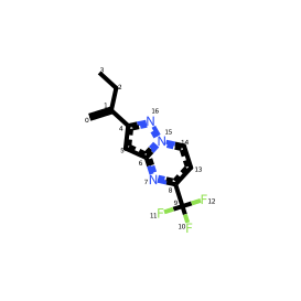 C=C(CC)c1cc2nc(C(F)(F)F)ccn2n1